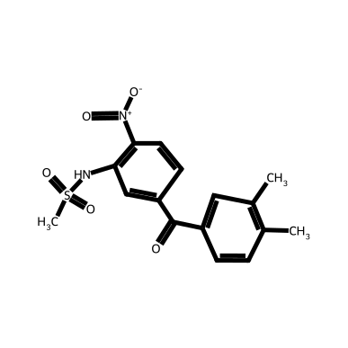 Cc1ccc(C(=O)c2ccc([N+](=O)[O-])c(NS(C)(=O)=O)c2)cc1C